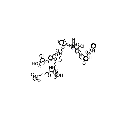 COCCN(CCOC12CC(C)(C)CC(C)(CC(C)(CN/C(C)=C(\C=N)c3ccc(N4CCc5c(OC)ccc(C(=O)Nc6nc7ccccc7s6)c5C4)nc3C(=O)O)C1)C2)C(=O)OCc1ccc(O[C@H]2C[C@@H](O)C[C@@H](C(=O)O)O2)cc1OCCCNC(=O)[C@H](CS(=O)(=O)O)NC(=O)CCCCCN1C(=O)C=CC1=O